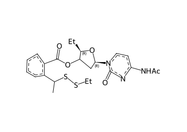 CCSSC(C)c1ccccc1C(=O)OC1C[C@H](n2ccc(NC(C)=O)nc2=O)O[C@@H]1CC